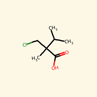 CC(C)C(C)(CCl)C(=O)O